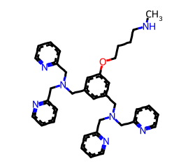 CNCCCCOc1cc(CN(Cc2ccccn2)Cc2ccccn2)cc(CN(Cc2ccccn2)Cc2ccccn2)c1